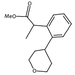 COC(=O)C(C)c1ccccc1C1CCOCC1